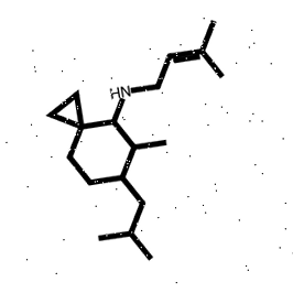 CC(C)=CCNC1C(C)C(CC(C)C)CCC12CC2